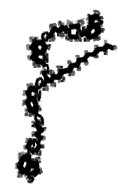 CCCCCCCCCCCCCCCC(COc1ccc2ccc(OCCCCN3CCN(c4cccc5sccc45)CC3)cc2n1)COc1ccc2ccc(OCCCCN3CCN(c4cccc5sccc45)CC3)cc2n1